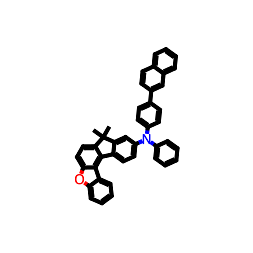 CC1(C)c2cc(N(c3ccccc3)c3ccc(-c4ccc5ccccc5c4)cc3)ccc2-c2c1ccc1oc3ccccc3c21